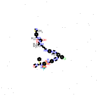 Cc1ncsc1-c1ccc([C@H](C)NC(=O)[C@@H]2C[C@@H](O)CN2C(=O)[C@@H](NCCCCCCNc2ccc(N3CCN(CC4(C)CCC(c5ccc(Cl)cc5)=C(CN5CCN(c6ccc(C(=O)NS(=O)(=O)c7ccc(N[C@H](CCN8CCOCC8)CSc8ccccc8)c(S(=O)(=O)C(F)(F)F)c7)cc6)CC5)C4)CC3)cc2)C(C)(C)C)cc1